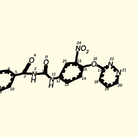 O=C(NC(=O)c1ccccc1)Nc1ccc(Oc2cccnn2)c([N+](=O)[O-])c1